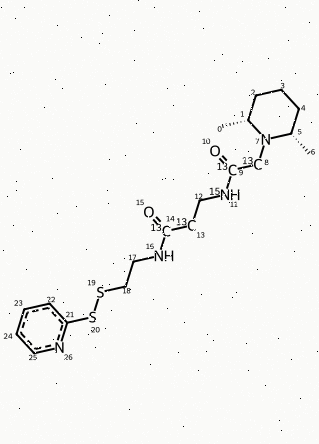 C[C@@H]1CCC[C@H](C)N1[13CH2][13C](=O)[15NH]C[13CH2][13C](=O)NCCSSc1ccccn1